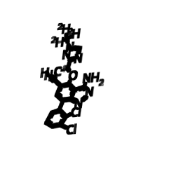 [2H]C([2H])([2H])n1cnc([C@@H](C)Oc2c(C#N)cc(-c3cccc(Cl)c3Cl)c3ncnc(N)c23)n1